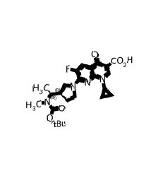 C[C@H]([C@@H]1CCN(c2nc3c(cc2F)c(=O)c(C(=O)O)cn3C2CC2)C1)N(C)C(=O)OC(C)(C)C